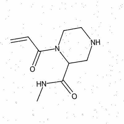 C=CC(=O)N1CCNCC1C(=O)NC